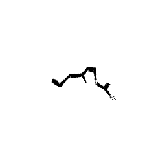 C=C/C=C(C)/C=C\N=C(/C)CC